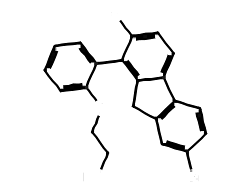 OCCOc1ccccc1-c1c(Br)ccc2c1Cc1cc(Br)ccc1-2